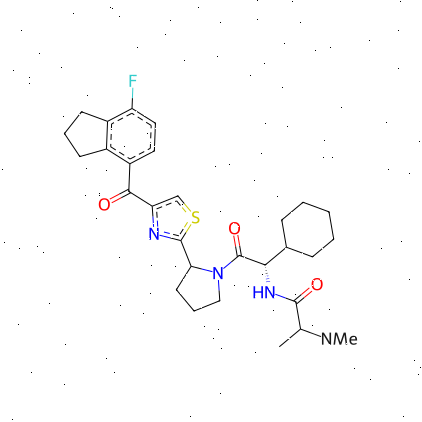 CNC(C)C(=O)N[C@H](C(=O)N1CCCC1c1nc(C(=O)c2ccc(F)c3c2CCC3)cs1)C1CCCCC1